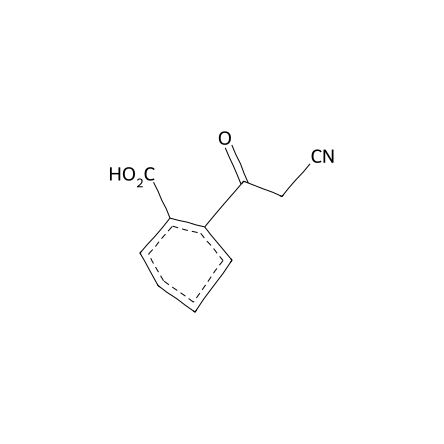 N#CCC(=O)c1ccccc1C(=O)O